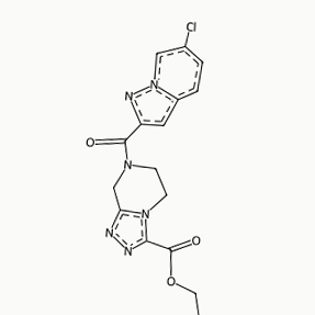 CCOC(=O)c1nnc2n1CCN(C(=O)c1cc3ccc(Cl)cn3n1)C2